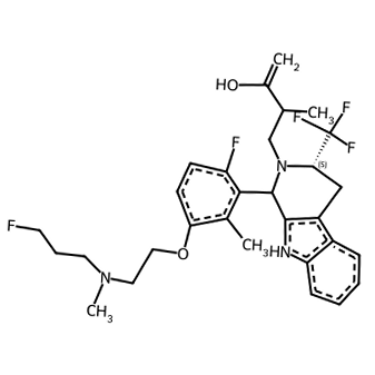 C=C(O)C(C)CN1C(c2c(F)ccc(OCCN(C)CCCF)c2C)c2[nH]c3ccccc3c2C[C@H]1C(F)(F)F